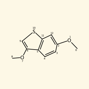 COc1ccc2c(OC)csc2c1